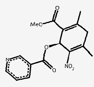 COC(=O)C1=C(C)CC(C)=C([N+](=O)[O-])[C@H]1OC(=O)c1cccnc1